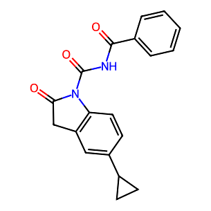 O=C(NC(=O)N1C(=O)Cc2cc(C3CC3)ccc21)c1ccccc1